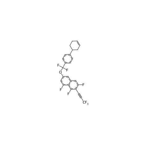 Fc1cc2cc(OC(F)(F)c3ccc(C4CC=CCC4)cc3)cc(F)c2c(F)c1C#CC(F)(F)F